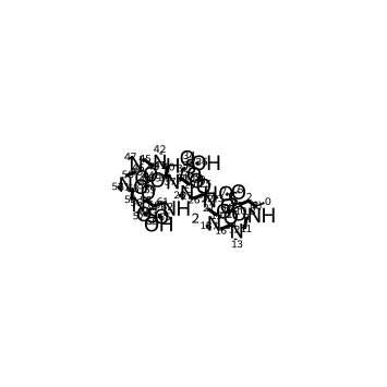 C[C@H](CCS(=O)(=O)O)NC(=O)CN(C)C(=O)CN(C)C(=O)CN(C)C(=O)CN(C)C(=O)[C@H](CS(=O)(=O)O)NC(=O)CN(C)C(=O)CN(C)C(=O)CN(C)C(=O)CN(C)C(=O)C(CN)S(=O)(=O)O